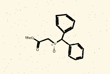 COC(=O)C[S@@+]([O-])C(c1ccccc1)c1ccccc1